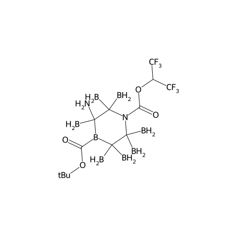 BC1(B)B(C(=O)OC(C)(C)C)C(B)(N)C(B)(B)N(C(=O)OC(C(F)(F)F)C(F)(F)F)C1(B)B